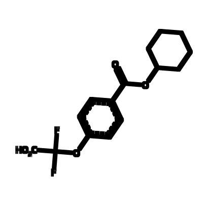 O=C(OC1CCCCC1)c1ccc(OC(F)(F)C(=O)O)cc1